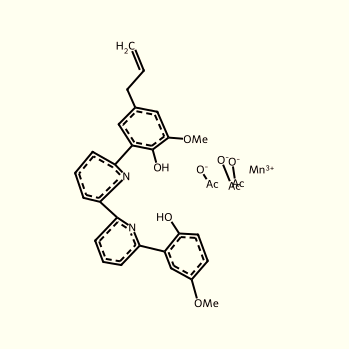 C=CCc1cc(OC)c(O)c(-c2cccc(-c3cccc(-c4cc(OC)ccc4O)n3)n2)c1.CC(=O)[O-].CC(=O)[O-].CC(=O)[O-].[Mn+3]